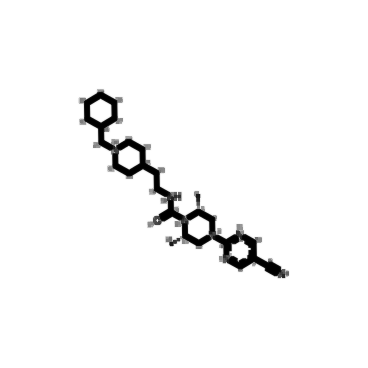 C[C@@H]1CN(c2ncc(C#N)cn2)C[C@H](C)N1C(=O)NCCC1CCN(CC2CCCCC2)CC1